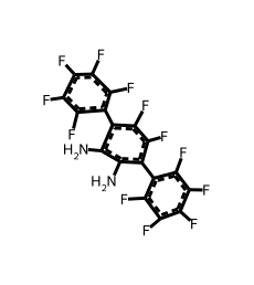 Nc1c(N)c(-c2c(F)c(F)c(F)c(F)c2F)c(F)c(F)c1-c1c(F)c(F)c(F)c(F)c1F